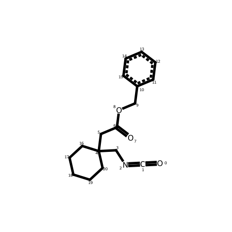 O=C=NCC1(CC(=O)OCc2ccccc2)CCCCC1